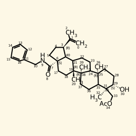 C=C(C)[C@@H]1CC[C@]2(C(=O)NCc3ccccc3)CC[C@]3(C)C(CCC4[C@@]5(C)CC[C@H](O)[C@@](C)(COC(C)=O)C5CC[C@]43C)C12